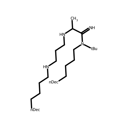 CCCCCCCCCCCCCCNCCCNC(C)C(=N)N(CCCCCCCCCCCCCC)C(C)(C)C